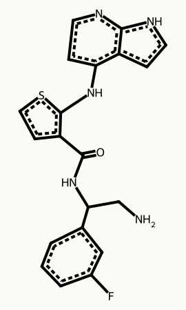 NCC(NC(=O)c1ccsc1Nc1ccnc2[nH]ccc12)c1cccc(F)c1